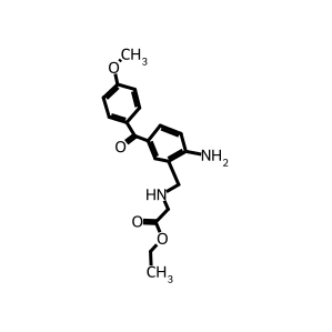 CCOC(=O)CNCc1cc(C(=O)c2ccc(OC)cc2)ccc1N